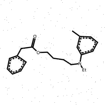 CCN(CCCCOC(=O)Cc1ccccc1)c1cccc(C)c1